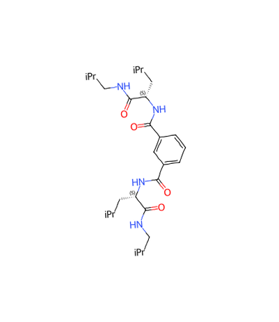 CC(C)CNC(=O)[C@H](CC(C)C)NC(=O)c1cccc(C(=O)N[C@@H](CC(C)C)C(=O)NCC(C)C)c1